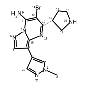 Cn1cc(-c2cnn3c(N)c(Br)c([C@@H]4CCNC4)nc23)cn1